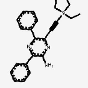 CC[Si](C#Cc1nc(N)c(-c2ccccc2)nc1-c1ccccc1)(CC)CC